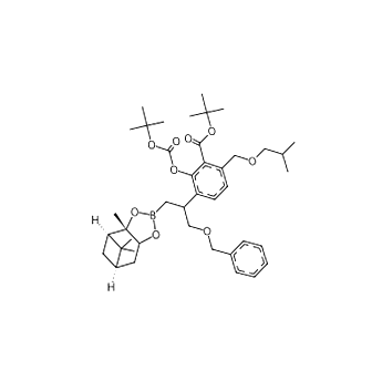 CC(C)COCc1ccc(C(COCc2ccccc2)CB2OC3C[C@H]4C[C@H](C4(C)C)[C@]3(C)O2)c(OC(=O)OC(C)(C)C)c1C(=O)OC(C)(C)C